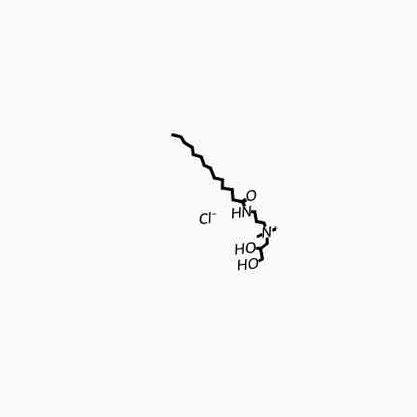 CCCCCCCCCCCCCC(=O)NCCC[N+](C)(C)CC(O)CO.[Cl-]